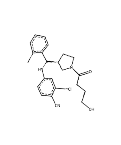 Cc1ccccc1C(Nc1ccc(C#N)c(Cl)c1)[C@H]1CCN(C(=O)CCCO)C1